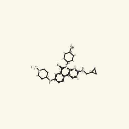 CN1CCC(Nc2ccc3c(c2)c(=O)n(C2CCC(O)CC2)c2nc(NCC4CC4)ncc32)CC1